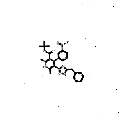 CC1=C(C(=O)OC(C)(C)C)C(c2cccc([N+](=O)[O-])c2)C(c2nc(Cc3ccccc3)no2)=C(C)N1